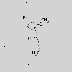 CCCCC(Cl)Cc1ccc(Br)cc1OC